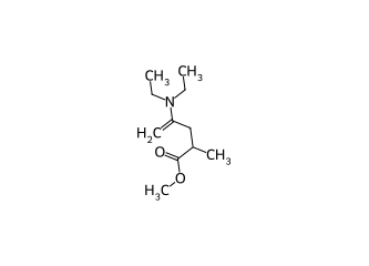 C=C(CC(C)C(=O)OC)N(CC)CC